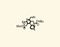 CCc1nc(CC(C)C)c(CNC(=O)OC(C)(C)C)c(-c2ccc(C)cc2)c1CS(=O)(=O)OC